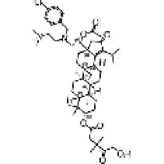 CC(=O)O[C@@H](CN(CCN(C)C)Cc1ccc(Cl)cc1)[C@@]12CC[C@]3(C)[C@H](CC[C@@H]4[C@@]5(C)CC[C@H](OC(=O)CC(C)(C)C(=O)CO)C(C)(C)[C@@H]5CC[C@]43C)C1=C(C(C)C)C(=O)C2